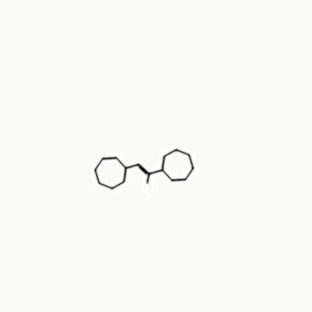 ClC(=CC1CCCCCC1)C1CCCCCC1